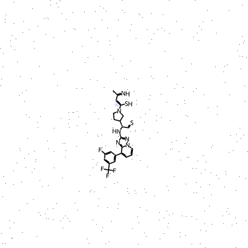 CC(=N)/C=C(\S)N1CCC(C(C=S)Nc2nc3c(-c4cc(F)cc(C(F)(F)F)c4)cccn3n2)C1